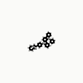 c1ccc(-n2c3ccccc3c3ccc4c(c5ccccc5n4-c4ccc(-c5cn6ccccc6n5)cc4)c32)cc1